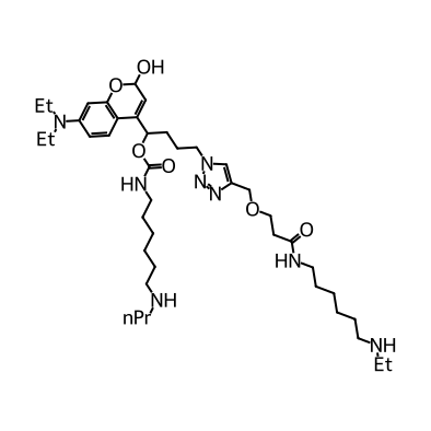 CCCNCCCCCCNC(=O)OC(CCCn1cc(COCCC(=O)NCCCCCCNCC)nn1)C1=CC(O)Oc2cc(N(CC)CC)ccc21